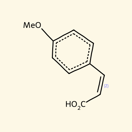 COc1ccc(/C=C\C(=O)O)cc1